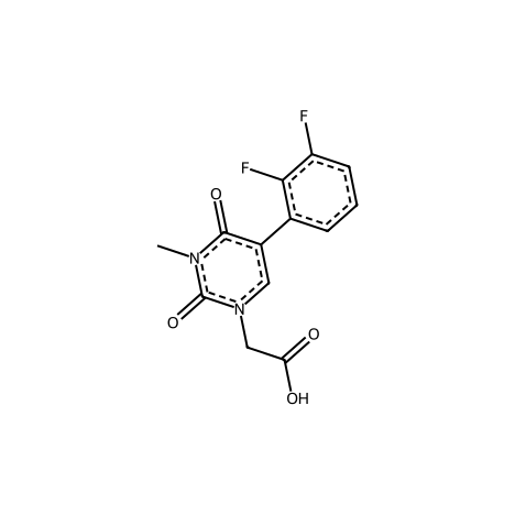 Cn1c(=O)c(-c2cccc(F)c2F)cn(CC(=O)O)c1=O